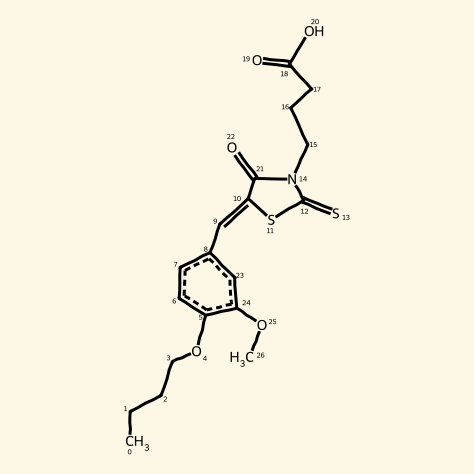 CCCCOc1ccc(/C=C2\SC(=S)N(CCCC(=O)O)C2=O)cc1OC